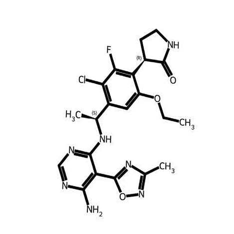 CCOc1cc([C@H](C)Nc2ncnc(N)c2-c2nc(C)no2)c(Cl)c(F)c1[C@H]1CCNC1=O